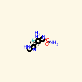 Cc1c(-c2cc3cc(OC(N)=O)ncc3c(N)c2F)cnc2c1NCCC2